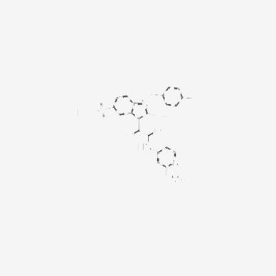 COc1cc(NC(=O)C(=O)c2c(C)n(Cc3ccc(Cl)cc3)c3ccc(S(C)(=O)=O)cc23)ccn1